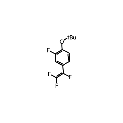 CC(C)(C)Oc1ccc(C(F)=C(F)F)cc1F